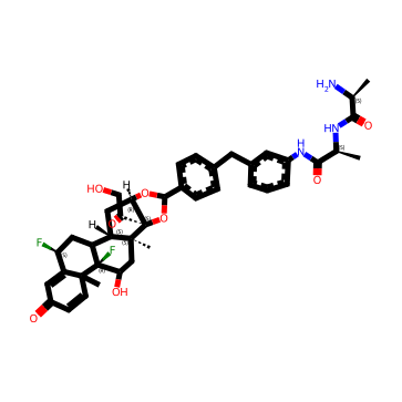 C[C@H](N)C(=O)N[C@@H](C)C(=O)Nc1cccc(Cc2ccc(C3O[C@@H]4C[C@H]5C6C[C@H](F)C7=CC(=O)C=CC7(C)[C@@]6(F)C(O)C[C@]5(C)[C@]4(C(=O)CO)O3)cc2)c1